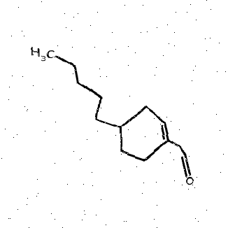 CCCCCC1CC=C(C=O)CC1